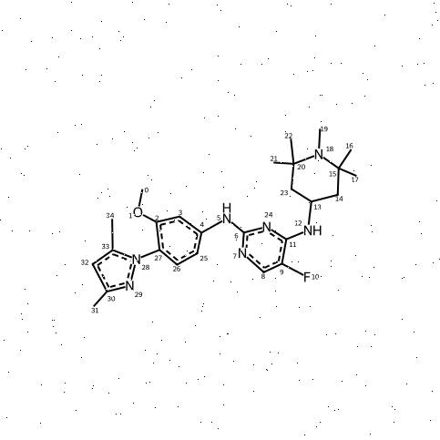 COc1cc(Nc2ncc(F)c(NC3CC(C)(C)N(C)C(C)(C)C3)n2)ccc1-n1nc(C)cc1C